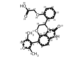 Cc1noc(C)c1-c1ccc2[nH]c(=O)n3c2c1OCC3c1ccccc1OCC(=O)O